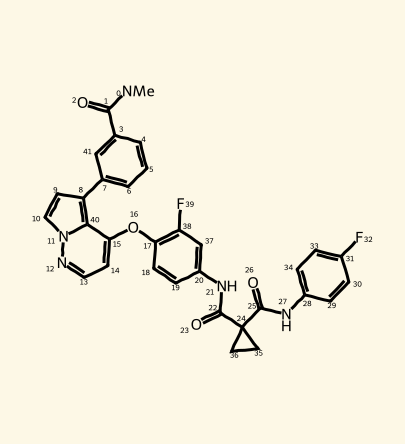 CNC(=O)c1cccc(-c2ccn3nccc(Oc4ccc(NC(=O)C5(C(=O)Nc6ccc(F)cc6)CC5)cc4F)c23)c1